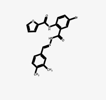 Cc1ccc(C=NNC(=O)c2cc(Br)ccc2NC(=O)c2ccco2)cc1C